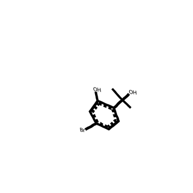 CC(C)(O)c1ccc(Br)cc1O